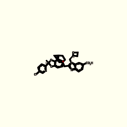 C[C@]1(c2ccc(Cl)cn2)Oc2cccc(C34CCN(Cc5nc6ccc(C(=O)O)cc6n5C[C@@H]5CCO5)CC3C4)c2O1